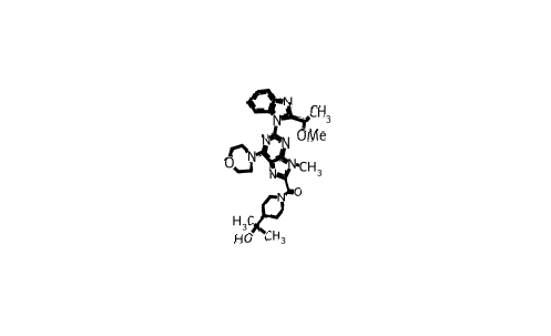 COC(C)c1nc2ccccc2n1-c1nc(N2CCOCC2)c2nc(C(=O)N3CCC(C(C)(C)O)CC3)n(C)c2n1